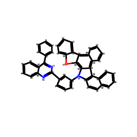 c1ccc(-c2nc(-c3cccc(-n4c5ccc6ccccc6c5c5c6ccccc6c6c7ccccc7oc6c54)c3)nc3ccccc23)cc1